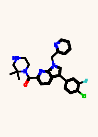 CC1(C)CNCCN1C(=O)c1ccc2c(-c3ccc(Cl)c(F)c3)cn(Cc3ccccn3)c2n1